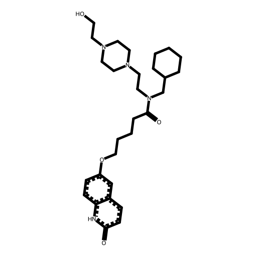 O=C(CCCCOc1ccc2[nH]c(=O)ccc2c1)N(CCN1CCN(CCO)CC1)CC1CCCCC1